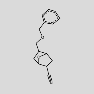 N#CC1CC2OC1CC2COCc1ccccc1